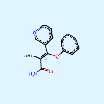 CCCC/C(C(N)=O)=C(/Oc1ccccc1)c1cccnc1